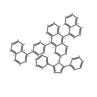 c1ccc(-c2ccc(-c3ccccc3)n2-c2ccc3c(-c4cccc5ccccc45)c4ccccc4c(-c4ccc(-c5cccc6ccccc56)cc4)c3c2)cc1